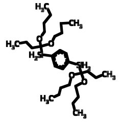 CCCCOC(CCC)(OCCCC)[SiH2]c1ccc([SiH2]C(CCC)(OCCCC)OCCCC)cc1